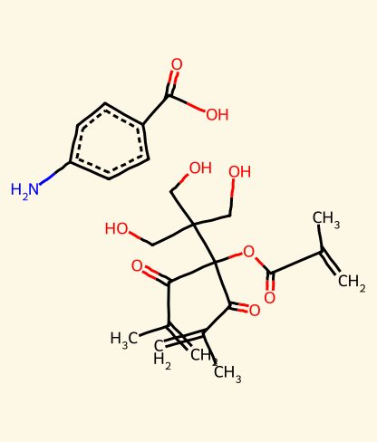 C=C(C)C(=O)OC(C(=O)C(=C)C)(C(=O)C(=C)C)C(CO)(CO)CO.Nc1ccc(C(=O)O)cc1